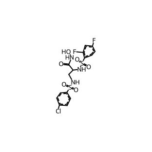 O=C(NO)C(CNS(=O)(=O)c1ccc(Cl)cc1)NS(=O)(=O)c1ccc(F)cc1F